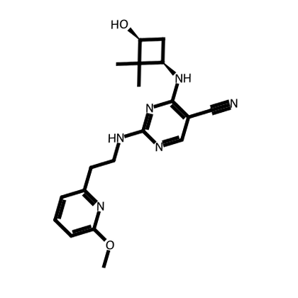 COc1cccc(CCNc2ncc(C#N)c(N[C@@H]3C[C@H](O)C3(C)C)n2)n1